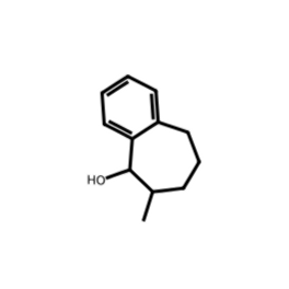 CC1CCCc2ccccc2C1O